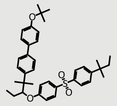 CCC(Oc1ccc(S(=O)(=O)c2ccc(C(C)(C)CC)cc2)cc1)C(C)(C)c1ccc(-c2ccc(OC(C)(C)C)cc2)cc1